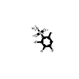 Cc1cc(F)c(F)c(F)c1S(N)(=O)=O